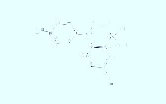 CC1(C)CCN(c2ccc(Cl)c(F)c2)c2ccc(Br)nc21